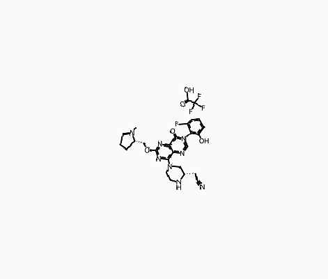 CN1CCC[C@H]1COc1nc(N2CCN[C@@H](CC#N)C2)c2ncn(-c3c(O)cccc3F)c(=O)c2n1.O=C(O)C(F)(F)F